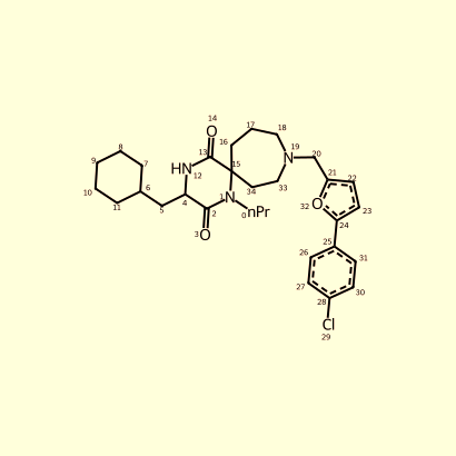 CCCN1C(=O)C(CC2CCCCC2)NC(=O)C12CCCN(Cc1ccc(-c3ccc(Cl)cc3)o1)CC2